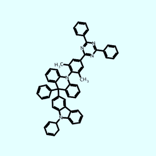 Cc1cc(-c2nc(-c3ccccc3)nc(-c3ccccc3)n2)cc(C)c1N1c2ccccc2C(c2ccccc2)(c2ccc3c(c2)c2ccccc2n3C2C=CC=CC2)c2ccccc21